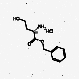 Cl.N[C@@H](CCO)C(=O)OCc1ccccc1